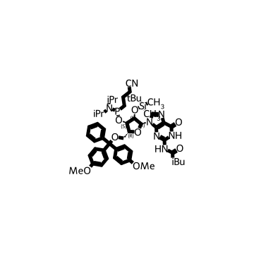 CCC(C)C(=O)Nc1nc2c(ncn2[C@@H]2O[C@H](COC(c3ccccc3)(c3ccc(OC)cc3)c3ccc(OC)cc3)[C@H](OP(CCCC#N)N(C(C)C)C(C)C)[C@@H]2O[Si](C)(C)C(C)(C)C)c(=O)[nH]1